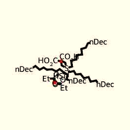 CCCCCCCCCCCCCCCCCC[SH](CCCCCCCCCCCCCCCCCC)(CCC(=O)O)(CCC(=O)O)C(CCCCCCCCCCCC)(CCCCCCCCCCCCCCCCC)[SH](OC(=O)CC)OC(=O)CC